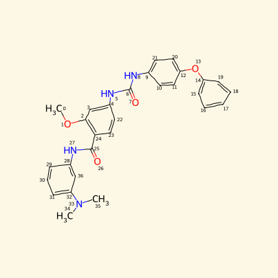 COc1cc(NC(=O)Nc2ccc(Oc3ccccc3)cc2)ccc1C(=O)Nc1cccc(N(C)C)c1